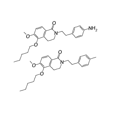 CCCCCOc1c(OC)ccc2c1CCN(CCc1ccc(C)cc1)C2=O.CCCCCOc1c(OC)ccc2c1CCN(CCc1ccc(N)cc1)C2=O